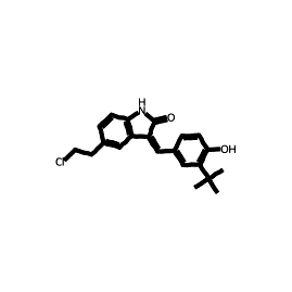 CC(C)(C)c1cc(C=C2C(=O)Nc3ccc(CCCl)cc32)ccc1O